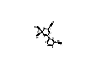 C#CC1=CC(c2cccc(C#C)c2)=CC(C#C)(C#C)C1